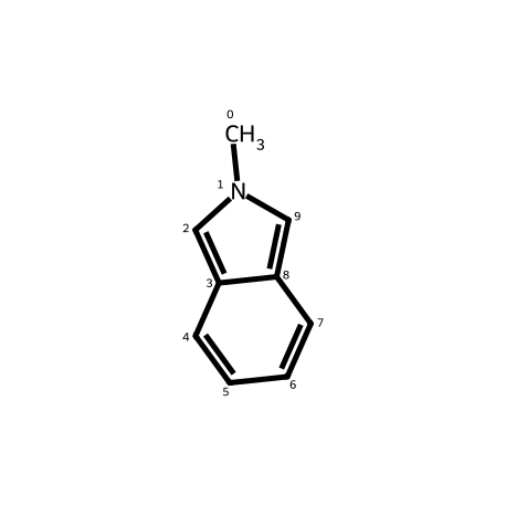 Cn1cc2ccccc2c1